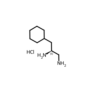 Cl.NC[C@@H](N)CC1CCCCC1